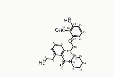 N#CCCc1ccccc1C(=O)N1CCCC[C@H]1CCOc1cccc(O)c1C=O